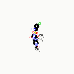 C=CC(=O)N1CCC2(CC1)CN1C(=O)CN(S(=O)(=O)c3cc4cc(Cl)ccc4[nH]3)CC1(COC)N2C